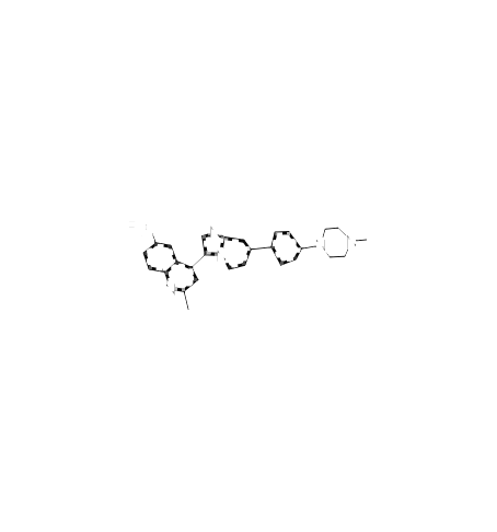 Cc1cc(-c2cnc3cc(-c4ccc(N5CCN(C)CC5)cc4)ccn23)c2cc(C(F)(F)F)ccc2n1